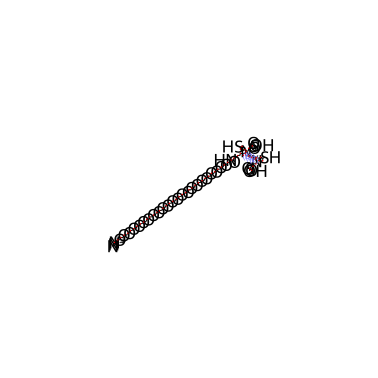 CC1(CCCCCC(=O)NCCOCCOCCOCCOCCOCCOCCOCCOCCOCCOCCOCCOCCOCCOCCOCCOCCOCCOCCOCCOCCOCCOCCOCCN=[N+]=[N-])C(/C=C/C=C/C=C2/N(CCCCS(=O)(=O)O)c3ccc(S)cc3C2(C)C)=[N+](CCCCS(=O)(=O)O)c2ccc(S)cc21